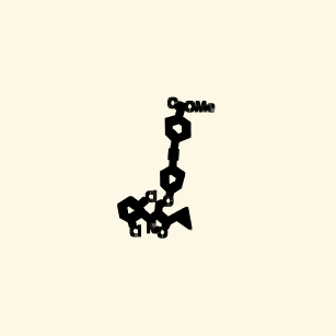 COC(=O)c1ccc(C#Cc2ccc(OCc3c(-c4c(Cl)cccc4Cl)noc3C3CC3)cc2)cc1